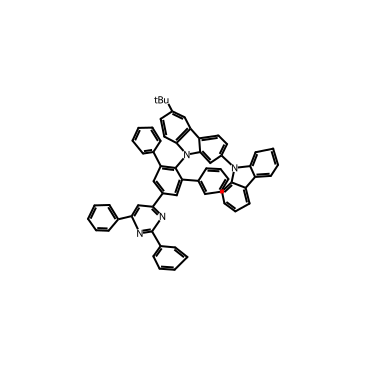 CC(C)(C)c1ccc2c(c1)c1ccc(-n3c4ccccc4c4ccccc43)cc1n2-c1c(-c2ccccc2)cc(-c2cc(-c3ccccc3)nc(-c3ccccc3)n2)cc1-c1ccccc1